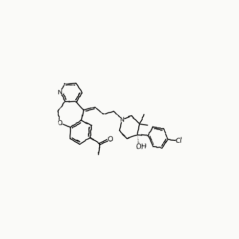 CC(=O)c1ccc2c(c1)C(=CCCN1CC[C@](O)(c3ccc(Cl)cc3)C(C)(C)C1)c1cccnc1CO2